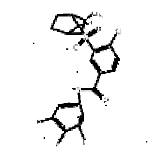 C[C@H]1CC2CCC1[C@@H]2S(=O)(=O)c1cc(C(=O)Nc2cc(F)c(F)c(F)c2)ccc1Cl